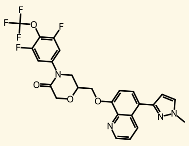 Cn1ccc(-c2ccc(OCC3CN(c4cc(F)c(OC(F)(F)F)c(F)c4)C(=O)CO3)c3ncccc23)n1